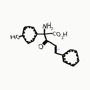 NC(C(=O)O)(C(=O)/C=C/c1ccccc1)c1ccc(O)cc1